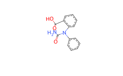 NC(=O)N(c1ccccc1)c1ccccc1C(=O)O